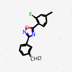 Cc1ccc(-c2nc(-c3cccc(C=O)c3)no2)c(F)c1